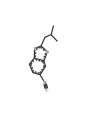 [C-]#[N+]c1ccc2sc(CC(C)C)nc2c1